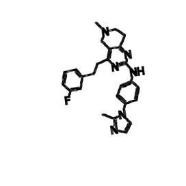 Cc1nccn1-c1ccc(Nc2nc(CCc3cccc(F)c3)c3c(n2)CCN(C)C3)cc1